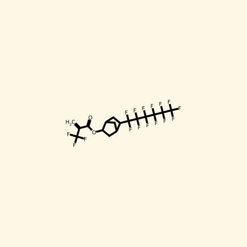 C=C(C(=O)OC1CC2CC1CC2C(F)(F)C(F)(F)C(F)(F)C(F)(F)C(F)(F)C(F)(F)F)C(F)(F)F